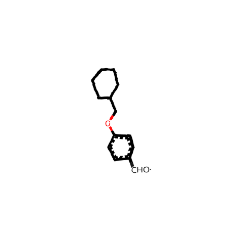 O=[C]c1ccc(OCC2CCCCC2)cc1